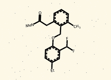 CCc1ccc(OCc2c(C)cccc2CC(=O)NC)c(C(F)F)c1